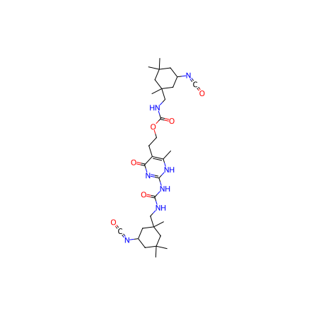 Cc1[nH]c(NC(=O)NCC2(C)CC(N=C=O)CC(C)(C)C2)nc(=O)c1CCOC(=O)NCC1(C)CC(N=C=O)CC(C)(C)C1